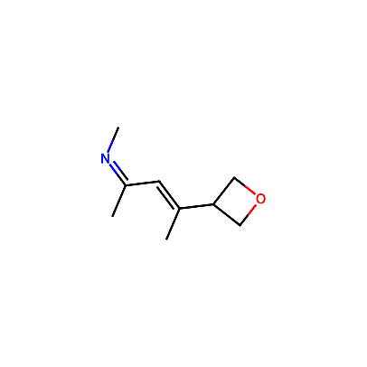 C/N=C(C)\C=C(/C)C1COC1